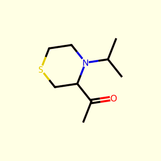 CC(=O)C1CSCCN1C(C)C